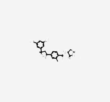 CCN1OC[C@@H](NC(=O)c2ccc(C3=NOC(c4cc(Cl)cc(Cl)c4)(C(F)(F)F)C3)cc2C)C1=O